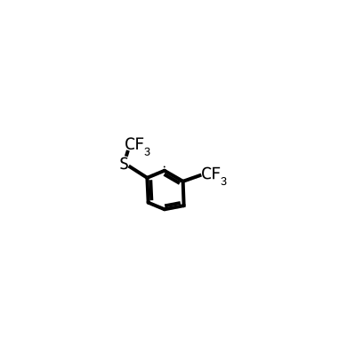 FC(F)(F)Sc1[c]c(C(F)(F)F)ccc1